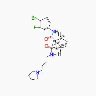 O=C(NCCCCN1CCCC1)[C@H]1[C@H](C(=O)Nc2ccc(Br)c(F)c2)[C@@H]2C=C[C@H]1C21CC1